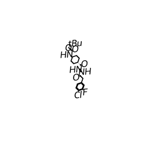 CC(C)(C)OC(=O)N[C@H]1CC[C@H](C(=O)NNC(=O)Cc2ccc(Cl)c(F)c2)CC1